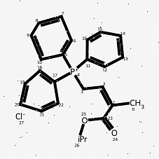 CC(=CC[P+](c1ccccc1)(c1ccccc1)c1ccccc1)C(=O)OC(C)C.[Cl-]